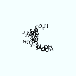 Nc1nc(/C(=N\OCC(=O)O)C(=O)N[C@@H]2C(=O)N3C(C(=O)O)=C(CSc4nc(-c5ccc(O)c(O)c5)cs4)CS[C@H]23)cs1